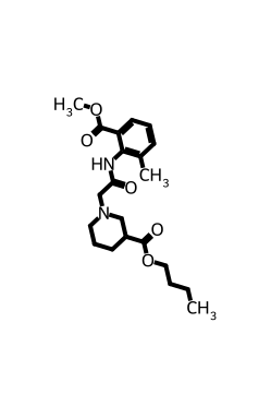 CCCCOC(=O)C1CCCN(CC(=O)Nc2c(C)cccc2C(=O)OC)C1